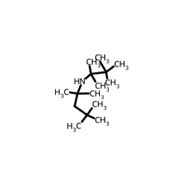 CC(C)(C)CC(C)(C)NC(C)(C)C(C)(C)C